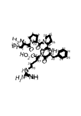 CC(C)C[C@H](N)C(=O)N1CCC[C@H]1C(=O)N1CCC[C@H]1C(=O)N[C@@H](Cc1ccccc1)C(=O)N[C@@H](CCCNC(=N)N)C(=O)O